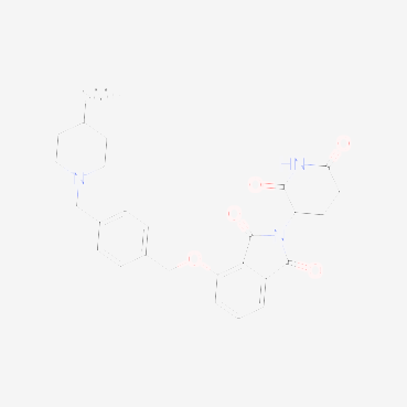 CSC1CCN(Cc2ccc(COc3cccc4c3C(=O)N(C3CCC(=O)NC3=O)C4=O)cc2)CC1